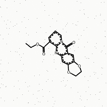 CCOC(=O)c1cccn2c(=O)c3cc4c(cc3nc12)OCCO4